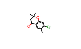 Cc1cc2c(cc1Br)OC(C)(C)CC2=O